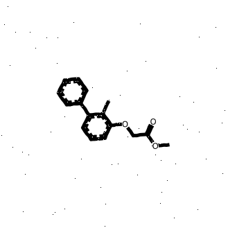 COC(=O)COc1cccc(-c2ccccc2)c1C